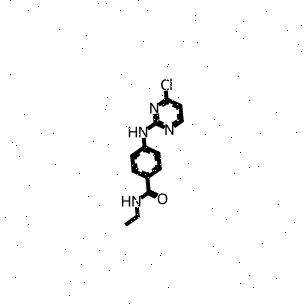 CCNC(=O)c1ccc(Nc2nccc(Cl)n2)cc1